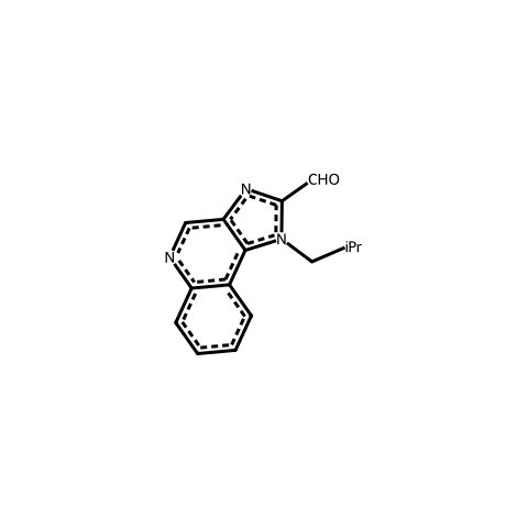 CC(C)Cn1c(C=O)nc2cnc3ccccc3c21